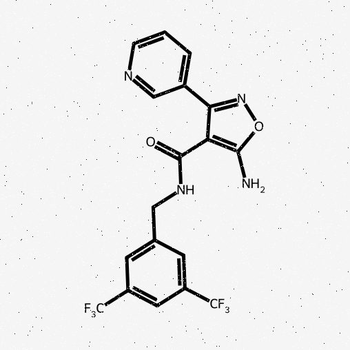 Nc1onc(-c2cccnc2)c1C(=O)NCc1cc(C(F)(F)F)cc(C(F)(F)F)c1